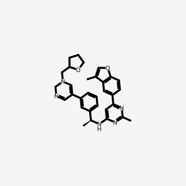 Cc1nc(N[C@@H](C)c2cccc(C3=CN(CC4CCCO4)CN=C3)c2)cc(-c2ccc3occ(C)c3c2)n1